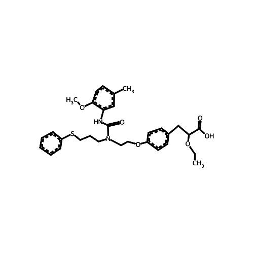 CCOC(Cc1ccc(OCCN(CCCSc2ccccc2)C(=O)Nc2cc(C)ccc2OC)cc1)C(=O)O